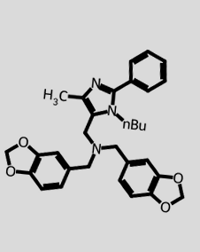 CCCCn1c(-c2ccccc2)nc(C)c1CN(Cc1ccc2c(c1)OCO2)Cc1ccc2c(c1)OCO2